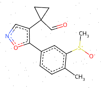 Cc1ccc(-c2oncc2C2(C=O)CC2)cc1[S+](C)[O-]